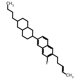 C/C=C/CCc1cc2ccc(C3CCC4CC(CCCC)CCC4C3)cc2cc1F